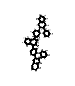 C1=Cc2cc(-c3ccc4c(c3)sc3c5sc6cc(C7Cc8ccccc8C=C7c7ccccc7)ccc6c5c5ccccc5c43)c(-c3ccccc3)cc2CC1